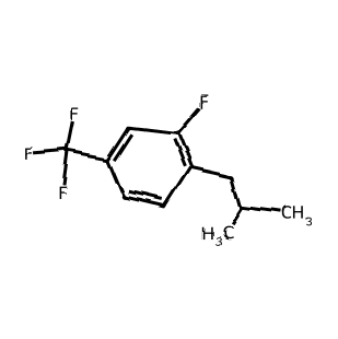 CC(C)Cc1ccc(C(F)(F)F)cc1F